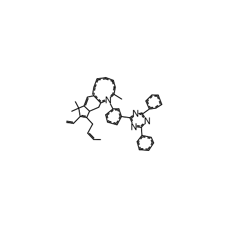 C=CC1=C(C/C=C\C)C2Cc3c(cccccc(C)n3-c3cccc(-c4nc(-c5ccccc5)nc(-c5ccccc5)n4)c3)C=C2C1(C)C